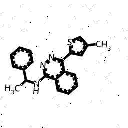 Cc1csc(-c2nnc(NC(C)c3ccccc3)c3ccccc23)c1